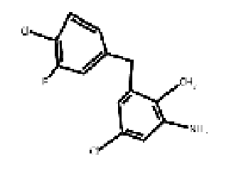 Cc1c(N)cc(Cl)cc1Cc1ccc(Cl)c(F)c1